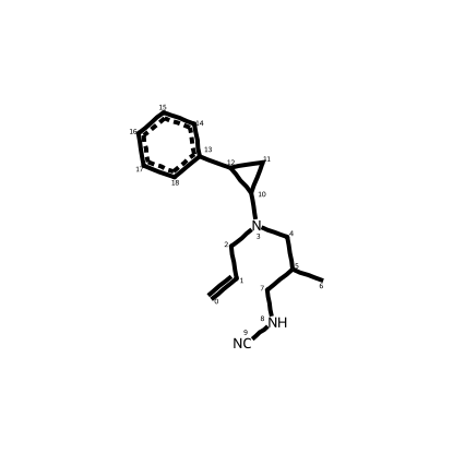 C=CCN(CC(C)CNC#N)C1CC1c1ccccc1